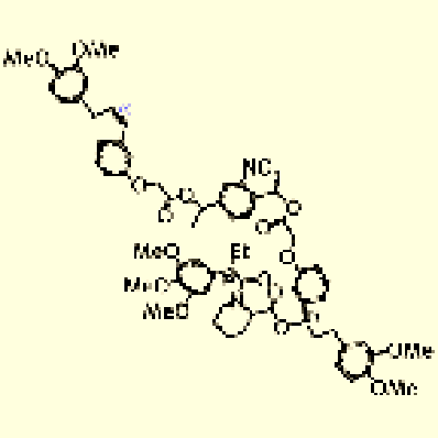 CC[C@H](C(=O)N1CCCCC1C(=O)O[C@H](CCc1ccc(OC)c(OC)c1)c1cccc(OCC(=O)OC(C)c2ccc(C(C)OC(=O)COc3cccc(/C=C\Cc4ccc(OC)c(OC)c4)c3)cc2[N+](=O)[O-])c1)c1cc(OC)c(OC)c(OC)c1